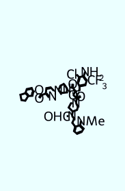 CNc1ccccc1CCN(C=O)C1CCN(C(=O)O[C@H](Cc2cc(Cl)c(N)c(C(F)(F)F)c2)C(=O)N2CCN(c3ccc(C(=O)Oc4ccc5c(c4)CCC5)cn3)CC2)CC1